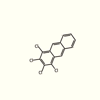 Clc1c(Cl)c(Cl)c2cc3[c]cc[c]c3cc2c1Cl